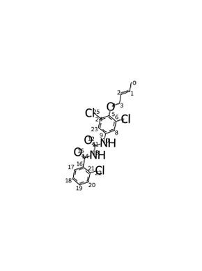 C/C=C/COc1c(Cl)cc(NC(=O)NC(=O)c2ccccc2Cl)cc1Cl